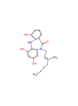 CCCC/C(C)=C/CN1C(=O)c2cccc(O)c2Nc2c(O)cc(O)cc21